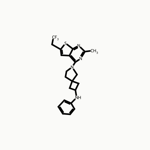 Cc1nc(N2CCC3(CC(Nc4ccccc4)C3)C2)c2cc(CC(F)(F)F)sc2n1